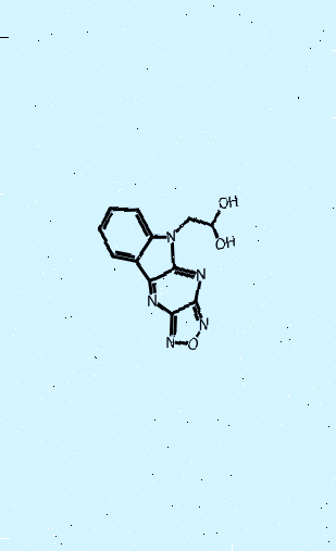 OC(O)Cn1c2ccccc2c2nc3nonc3nc21